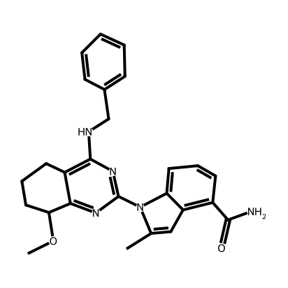 COC1CCCc2c(NCc3ccccc3)nc(-n3c(C)cc4c(C(N)=O)cccc43)nc21